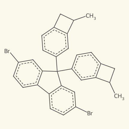 CC1Cc2ccc(C3(c4ccc5c(c4)C(C)C5)c4cc(Br)ccc4-c4ccc(Br)cc43)cc21